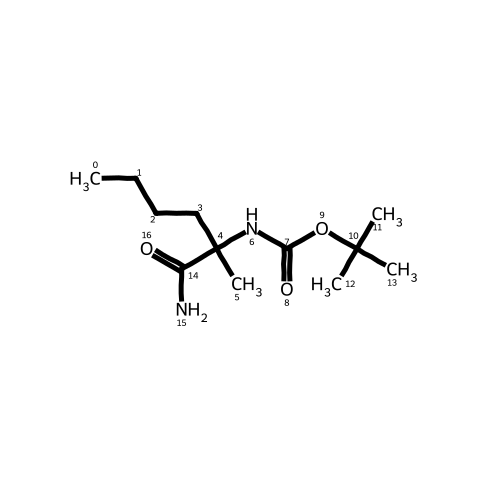 CCCCC(C)(NC(=O)OC(C)(C)C)C(N)=O